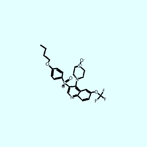 CCCCOc1ccc(S(=O)(=O)c2cnc3ccc(OC(F)(F)F)cc3c2N2CC[S+]([O-])CC2)cc1